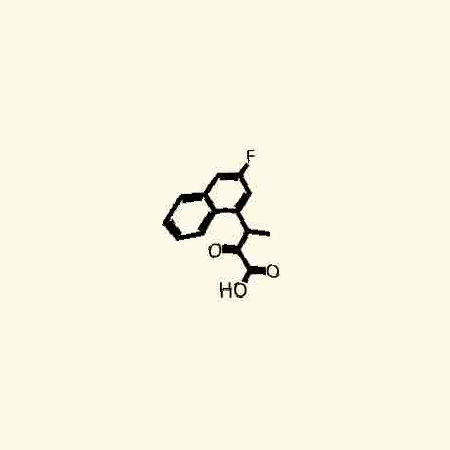 CC(C(=O)C(=O)O)c1cc(F)cc2ccccc12